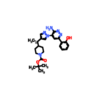 C[C@H](c1cnn(-c2cc(-c3ccccc3O)nnc2N)c1)C1CCN(C(=O)OC(C)(C)C)CC1